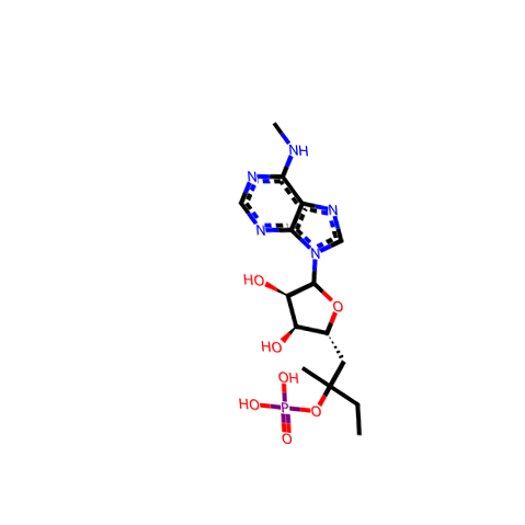 CCC(C)(C[C@H]1OC(n2cnc3c(NC)ncnc32)[C@H](O)[C@@H]1O)OP(=O)(O)O